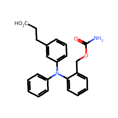 NC(=O)OCc1ccccc1N(c1ccccc1)c1cccc(CCC(=O)O)c1